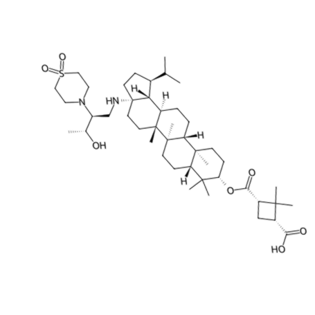 CC(C)[C@@H]1CC[C@]2(NC[C@@H]([C@@H](C)O)N3CCS(=O)(=O)CC3)CC[C@]3(C)[C@H](CC[C@@H]4[C@@]5(C)CC[C@H](OC(=O)[C@H]6C[C@@H](C(=O)O)C6(C)C)C(C)(C)[C@@H]5CC[C@]43C)[C@@H]12